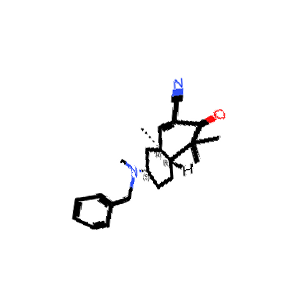 CN(Cc1ccccc1)[C@H]1CC[C@H]2C(C)(C)C(=O)C(C#N)=C[C@]2(C)C1